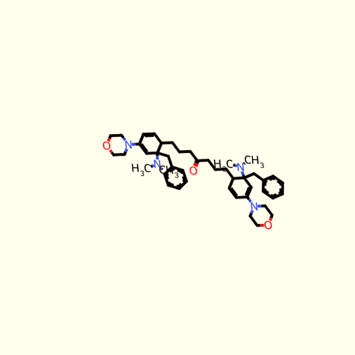 CN(C)C1(Cc2ccccc2)C=C(N2CCOCC2)C=CC1CCCC(=O)CCCC1C=CC(N2CCOCC2)=CC1(Cc1ccccc1)N(C)C